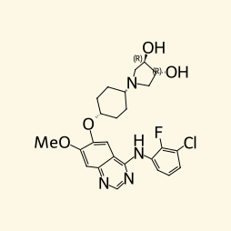 COc1cc2ncnc(Nc3cccc(Cl)c3F)c2cc1O[C@H]1CC[C@@H](N2C[C@@H](O)[C@H](O)C2)CC1